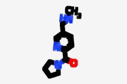 CNCc1ccc(C(=O)N2CCCC2)nc1